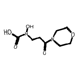 O=C(O)N(O)CCC(=O)N1CCOCC1